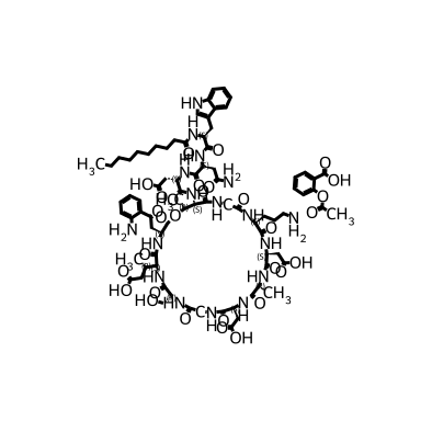 CC(=O)Oc1ccccc1C(=O)O.CCCCCCCCCC(=O)N[C@@H](Cc1c[nH]c2ccccc12)C(=O)N[C@@H](CC(N)=O)C(=O)N[C@@H](CC(=O)O)C(=O)N[C@@H]1C(=O)NCC(=O)N[C@@H](CCCN)C(=O)N[C@@H](CC(=O)O)C(=O)N[C@H](C)C(=O)N[C@@H](CC(=O)O)C(=O)NCC(=O)N[C@H](CO)C(=O)N[C@@H]([C@H](C)CC(=O)O)C(=O)N[C@@H](CC(=O)c2ccccc2N)C(=O)O[C@@H]1C